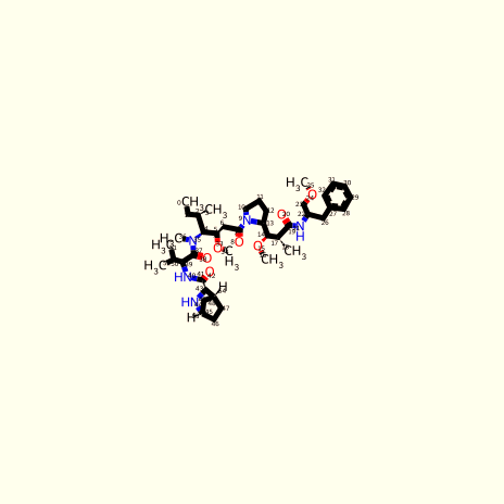 CC[C@H](C)[C@@H]([C@@H](CC(=O)N1CCCC1[C@H](OC)[C@@H](C)C(=O)NC(COC)Cc1ccccc1)OC)N(C)C(=O)C(NC(=O)[C@H]1N[C@@H]2CC[C@H]1C2)C(C)C